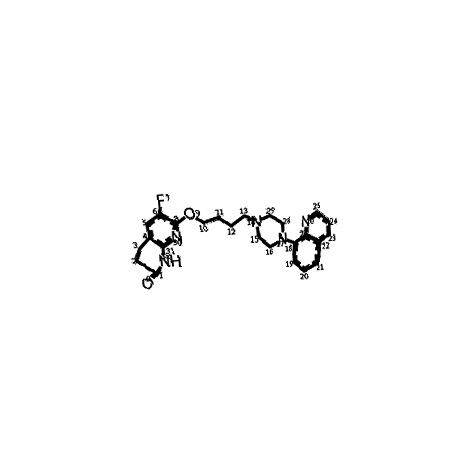 O=C1CCc2cc(F)c(OCCCCN3CCN(c4cccc5cccnc45)CC3)nc2N1